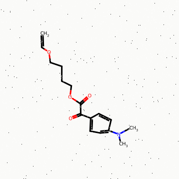 C=COCCCCOC(=O)C(=O)c1ccc(N(C)C)cc1